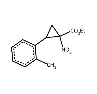 CCOC(=O)C1([N+](=O)[O-])CC1c1ccccc1C